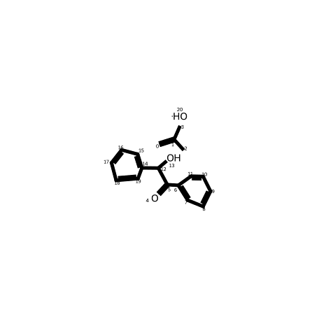 C=C(C)C.O=C(c1ccccc1)C(O)c1ccccc1.[OH]